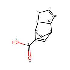 O=C(O)C1=CC2CC1C1CC=CC21